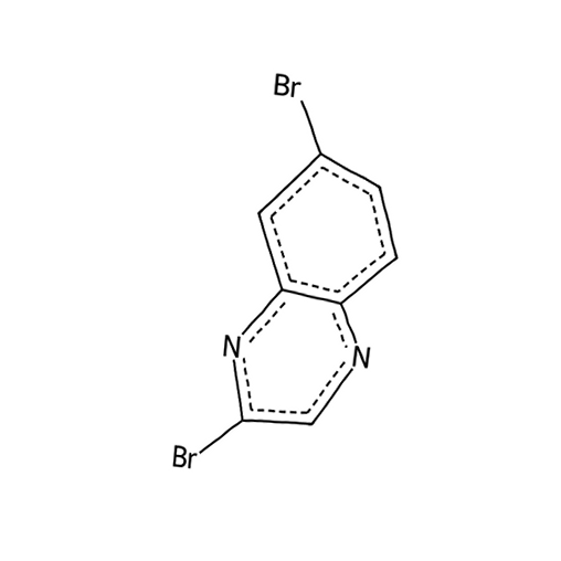 Brc1ccc2ncc(Br)nc2c1